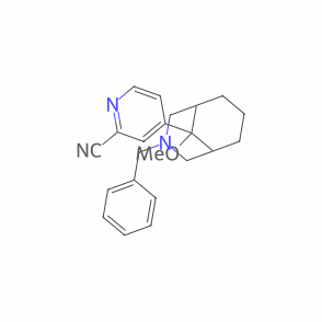 COC1(c2ccnc(C#N)c2)C2CCCC1CN(Cc1ccccc1)C2